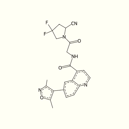 Cc1noc(C)c1-c1ccc2nccc(C(=O)NCC(=O)N3CC(F)(F)CC3C#N)c2c1